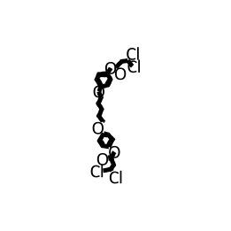 O=C(CC(Cl)Cl)Oc1ccc(OCCCCCOc2ccc(OC(=O)CC(Cl)Cl)cc2)cc1